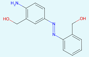 Nc1ccc(N=Nc2ccccc2CO)cc1CO